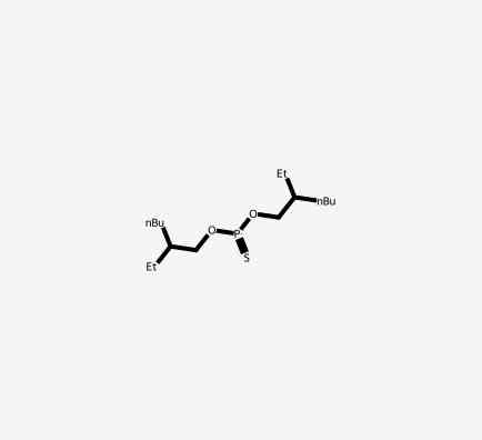 CCCCC(CC)CO[P](=S)OCC(CC)CCCC